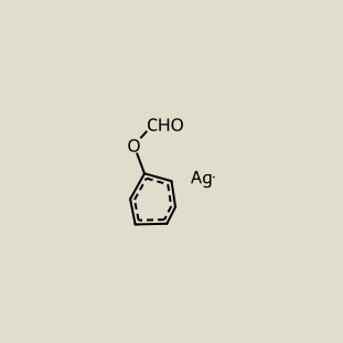 O=COc1ccccc1.[Ag]